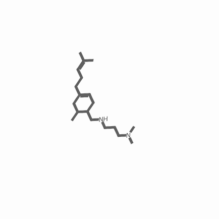 CC(C)=CCCC1=CCC(CNCCCN(C)C)C(C)C1